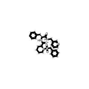 O=C(N[C@@H](Cc1ccccc1)C(=O)NCc1cccnc1)C1CCCCN1S(=O)(=O)Cc1ccccc1